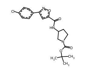 CC(C)(C)OC(=O)N1CCC(NC(=O)c2cc(-c3ccc(Cl)cc3)no2)C1